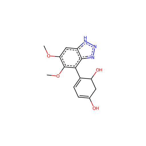 COc1cc2[nH]nnc2c(C2=CC=C(O)CC2O)c1OC